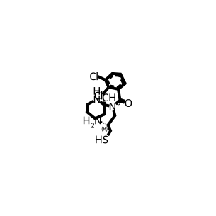 CC1(N(C[C@@H](N)CS)C(=O)c2cccc(Cl)c2Cl)CCCCN1